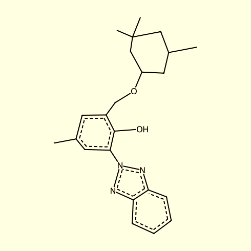 Cc1cc(COC2CC(C)CC(C)(C)C2)c(O)c(-n2nc3ccccc3n2)c1